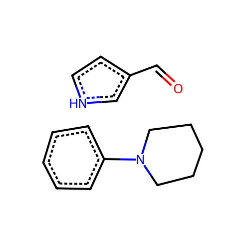 O=Cc1cc[nH]c1.c1ccc(N2CCCCC2)cc1